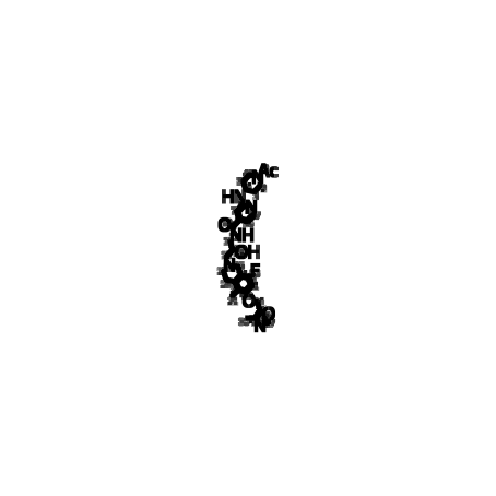 CC(=O)N1CCC(Nc2cc(C(=O)NCC(O)CN3CCc4c(C)c(OCc5ocnc5C)cc(F)c4C3)ccn2)CC1